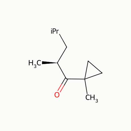 CC(C)C[C@H](C)C(=O)C1(C)CC1